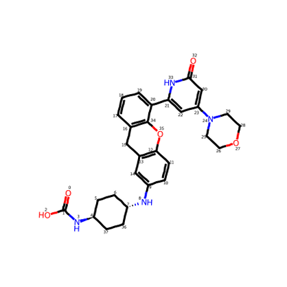 O=C(O)N[C@H]1CC[C@H](Nc2ccc3c(c2)Cc2cccc(-c4cc(N5CCOCC5)cc(=O)[nH]4)c2O3)CC1